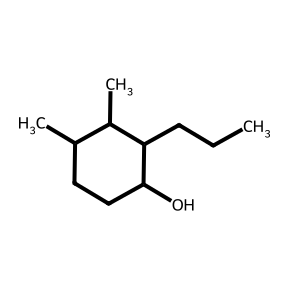 CCCC1C(O)CCC(C)C1C